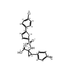 O=C(O)C1(NS(=O)(=O)c2ccc(-c3ccc(Cl)cc3)s2)CC1c1ccc(Br)cc1